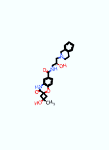 CC1(O)CC2(C1)Oc1ccc(C(=O)NC[C@H](O)CN3CCc4ccccc4C3)cc1NC2=O